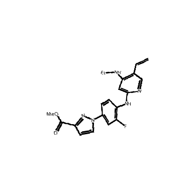 C=Cc1cnc(Nc2ccc(-n3ccc(C(=O)OC)n3)cc2F)cc1NCC